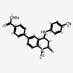 COC(=O)c1ccc(-c2ccc3c(c2)C(Nc2ccc(C#N)cc2)CC(C)N3C(C)=O)cc1